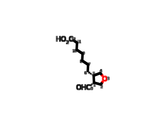 O=C[C@H]1COC[C@H]1CCCCCCC(=O)O